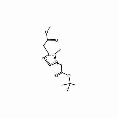 COC(=O)Cc1ncn(CC(=O)OC(C)(C)C)c1C